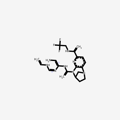 C=CN/C=N\C(=C/N)NC(=C)N1c2nc(C(=C)NCC(F)(F)F)ccc2N2CCC1C2